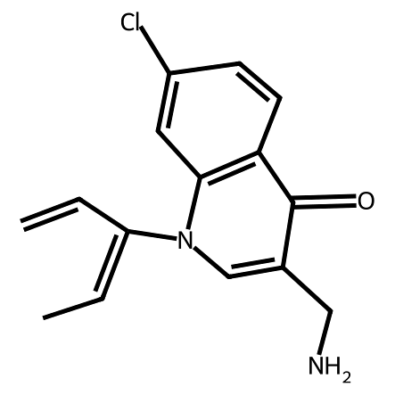 C=C/C(=C\C)n1cc(CN)c(=O)c2ccc(Cl)cc21